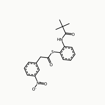 CC(C)(C)C(=O)Nc1ccccc1SC(=O)Cc1cccc([N+](=O)[O-])c1